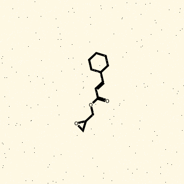 O=C(C=CC1CCCCC1)OCC1CO1